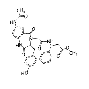 COC(=O)C[C@H](NC(=O)CN1C(=O)c2cc(NC(C)=O)ccc2NC(=O)[C@@H]1Cc1ccc(O)cc1)c1ccccc1